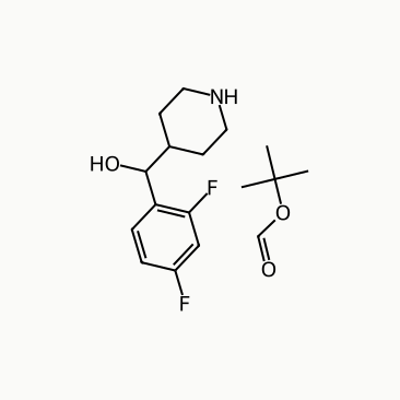 CC(C)(C)OC=O.OC(c1ccc(F)cc1F)C1CCNCC1